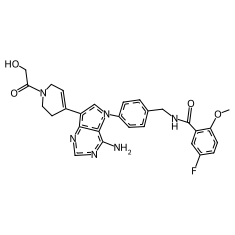 COc1ccc(F)cc1C(=O)NCc1ccc(-n2cc(C3=CCN(C(=O)CO)CC3)c3ncnc(N)c32)cc1